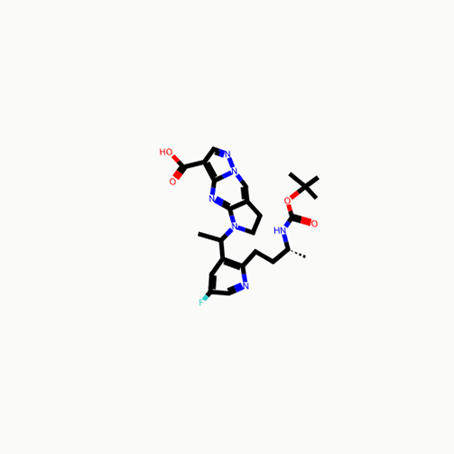 CC(c1cc(F)cnc1CC[C@@H](C)NC(=O)OC(C)(C)C)N1CCc2cn3ncc(C(=O)O)c3nc21